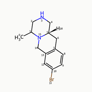 CC1CNC[C@@H]2Cc3ccc(Br)cc3CN12